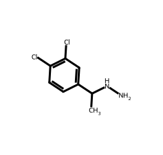 CC(NN)c1ccc(Cl)c(Cl)c1